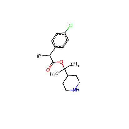 CC(C)C(C(=O)OC(C)(C)C1CCNCC1)c1ccc(Cl)cc1